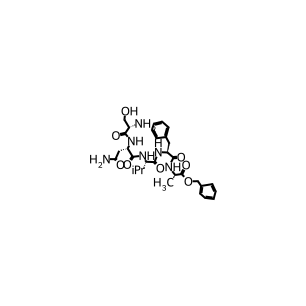 CC(C)[C@H](NC(=O)[C@H](CC(N)=O)NC(=O)[C@@H](N)CO)C(=O)N[C@@H](Cc1ccccc1)C(=O)N[C@@H](C)C(=O)OCc1ccccc1